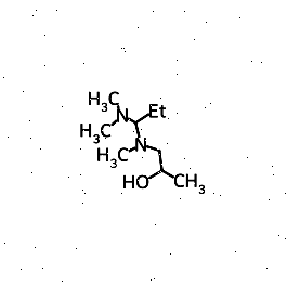 CCC(N(C)C)N(C)CC(C)O